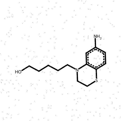 Nc1ccc2c(c1)N(CCCCCO)CCS2